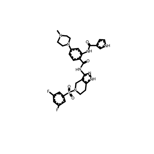 CN1CCN(c2ccc(C(=O)Nc3n[nH]c4c3CN(S(=O)(=O)c3cc(F)cc(F)c3)CC4)c(NC(=O)c3cc[nH]c3)c2)CC1